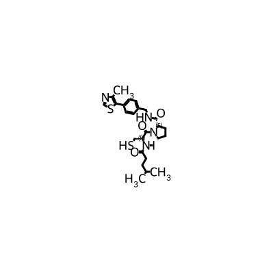 Cc1ncsc1-c1ccc(CNC(=O)[C@@H]2CCCN2C(=O)[C@H](CS)N(I)C(=O)CCC(C)C)cc1